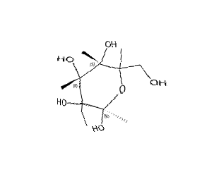 CC1(O)[C@](C)(O)[C@](C)(O)C(C)(CO)O[C@@]1(C)O